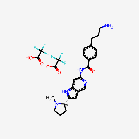 CN1CCC[C@H]1c1cc2cnc(NC(=O)c3ccc(CCCN)cc3)cc2[nH]1.O=C(O)C(F)(F)F.O=C(O)C(F)(F)F